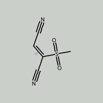 CS(=O)(=O)/C(C#N)=C\C#N